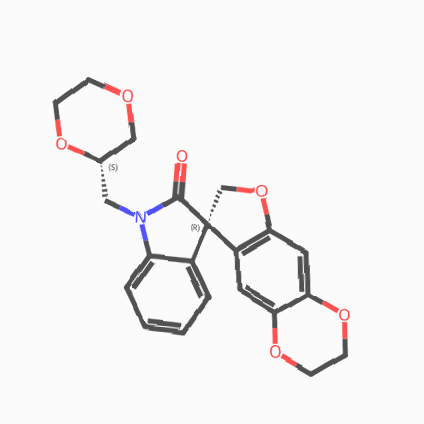 O=C1N(C[C@H]2COCCO2)c2ccccc2[C@@]12COc1cc3c(cc12)OCCO3